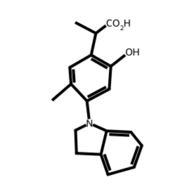 Cc1cc(C(C)C(=O)O)c(O)cc1N1CCc2ccccc21